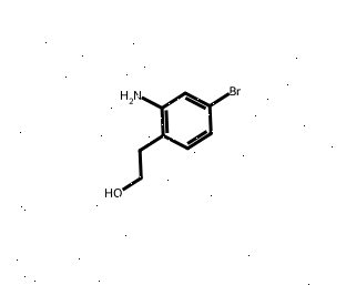 Nc1cc(Br)ccc1CCO